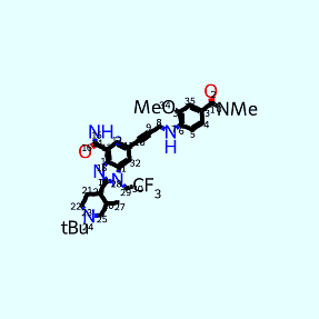 CNC(=O)c1ccc(NCC#Cc2cc(C(N)=O)c3nc(C4CCN(C(C)(C)C)CC4C)n(CC(F)(F)F)c3c2)c(OC)c1